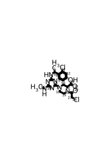 CNc1nc(NC(C)c2ccccc2Cl)nc(N2CCN(C(=O)CCl)C(C(=O)O)C2)n1